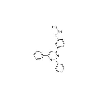 OBOc1cccc(-c2cc(-c3ccccc3)nc(-c3ccccc3)n2)c1